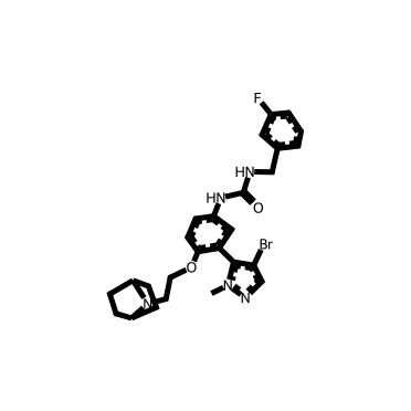 Cn1ncc(Br)c1-c1cc(NC(=O)NCc2cccc(F)c2)ccc1OCCN1C2CCC1CC2